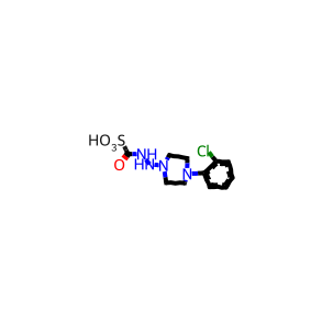 O=C(NNN1CCN(c2ccccc2Cl)CC1)S(=O)(=O)O